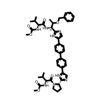 COC(=O)N[C@H](C(=O)N[C@H](c1ncc(-c2ccc(-c3ccc(-c4cnc([C@@H]5CCCN5C(=O)[C@@H](NC(=O)OC)C(C)C)[nH]4)cc3)cc2)[nH]1)C(C)OCc1ccccc1)C(C)C